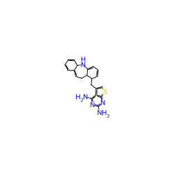 Nc1nc(N)c2c(CC3C=CC=C4NC5C=CC=CC5=CCC43)csc2n1